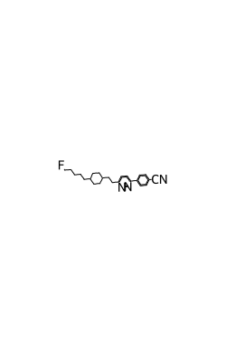 N#Cc1ccc(-c2ccc(CCC3CCC(CCCCCF)CC3)nn2)cc1